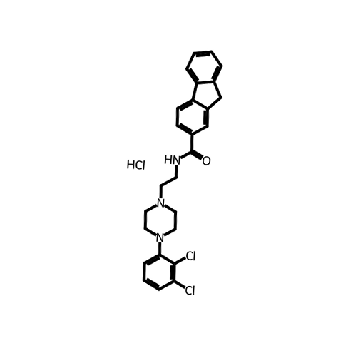 Cl.O=C(NCCN1CCN(c2cccc(Cl)c2Cl)CC1)c1ccc2c(c1)Cc1ccccc1-2